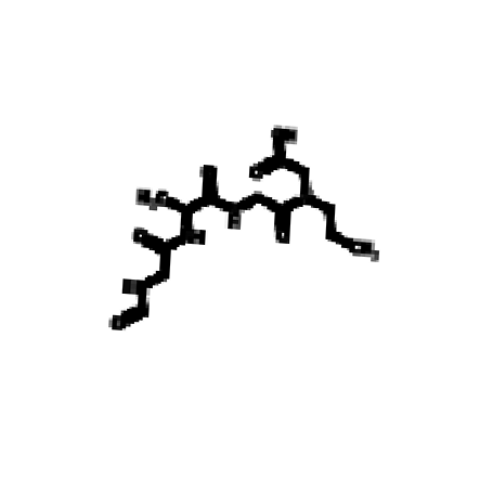 CCCN(CC(=O)O)C(=O)CNC(=O)C(C)NC(=O)CNC=O